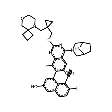 C#Cc1c(F)ccc2cc(O)cc(-c3c(OC)cc4c(N5CC6CCC(C5)N6)nc(OCC5(CN6CCOCC67CCC7)CC5)nc4c3F)c12